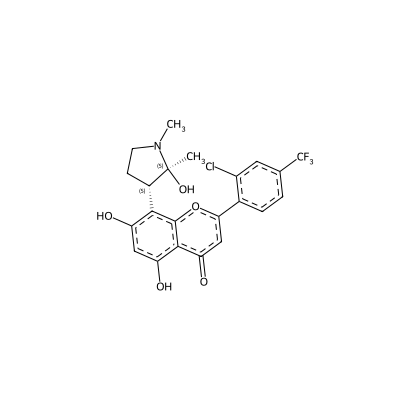 CN1CC[C@@H](c2c(O)cc(O)c3c(=O)cc(-c4ccc(C(F)(F)F)cc4Cl)oc23)[C@]1(C)O